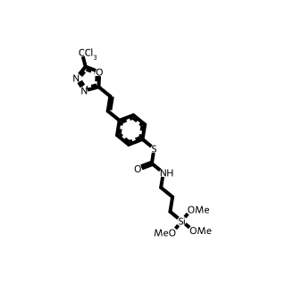 CO[Si](CCCNC(=O)Sc1ccc(C=Cc2nnc(C(Cl)(Cl)Cl)o2)cc1)(OC)OC